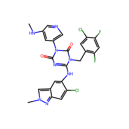 CNc1cncc(-n2c(=O)nc(Nc3cc4cn(C)nc4cc3Cl)n(Cc3cc(Cl)c(F)cc3F)c2=O)c1